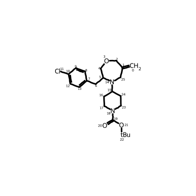 C=C1COCC(Cc2ccc(Cl)cc2)N(C2CCN(C(=O)OC(C)(C)C)CC2)C1